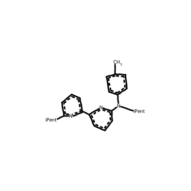 CCCC(C)c1cccc(-c2cccc(N(c3ccc(C)cc3)C(C)CCC)n2)n1